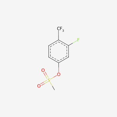 CS(=O)(=O)Oc1ccc(C(F)(F)F)c(F)c1